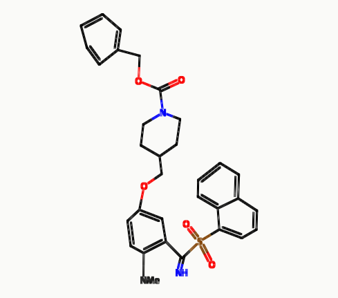 CNc1ccc(OCC2CCN(C(=O)OCc3ccccc3)CC2)cc1C(=N)S(=O)(=O)c1cccc2ccccc12